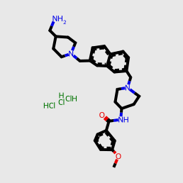 COc1cccc(C(=O)NC2CCN(Cc3ccc4ccc(CN5CCC(CN)CC5)cc4c3)CC2)c1.Cl.Cl.Cl